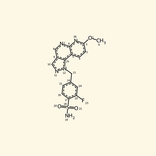 COc1ccc2c(ncc3cnn(Cc4ccc(S(N)(=O)=O)c(F)c4)c32)n1